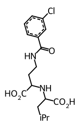 CC(C)CC(NC(CCNC(=O)c1cccc(Cl)c1)C(=O)O)C(=O)O